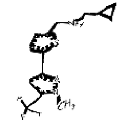 Cn1nc(-c2ccc(CNCC3CC3)s2)cc1C(F)(F)F